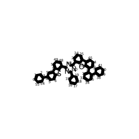 c1ccc(-c2ccc3sc4c(-c5nc(-c6ccccc6)nc(-c6cccc7c6oc6c(-c8ccccc8-c8ccccc8)cccc67)n5)cccc4c3c2)cc1